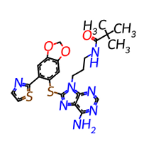 CC(C)(C)C(=O)NCCCn1c(Sc2cc3c(cc2-c2nccs2)OCO3)nc2c(N)ncnc21